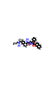 CC(C)CNC(C)c1ccc2c(c1)CCC[C@H]2NC(=O)C[C@@H](NS(=O)(=O)c1ccc2ccccc2c1)c1ccccc1